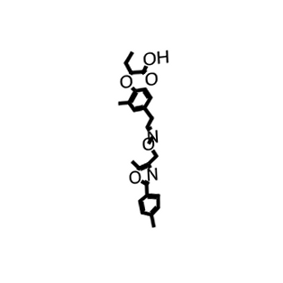 CCC(Oc1ccc(CC=NOCc2nc(-c3ccc(C)cc3)oc2C)cc1C)C(=O)O